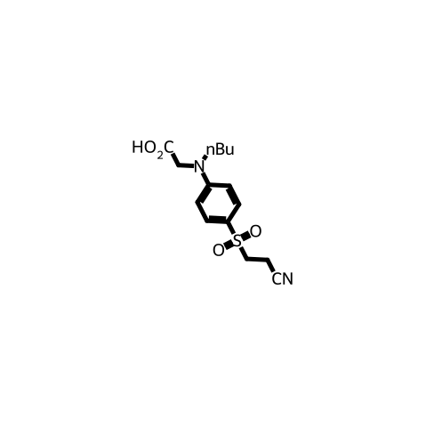 CCCCN(CC(=O)O)c1ccc(S(=O)(=O)CCC#N)cc1